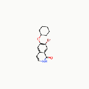 O=c1[nH]ccc2cc(OC3CCCCC3)c(Br)cc12